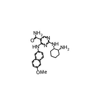 COc1ccc2cc(Nc3nc(N[C@@H]4CCCC[C@@H]4N)ncc3C(N)=O)ccc2c1